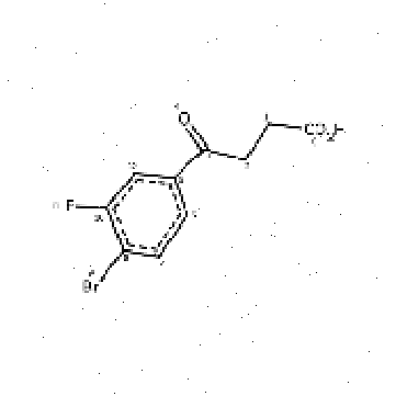 O=C(O)CCC(=O)c1ccc(Br)c(F)c1